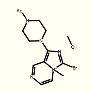 CC(=O)N1CCN(C2=C3C=NC=C[N+]3(C)C(Br)=N2)CC1.CO